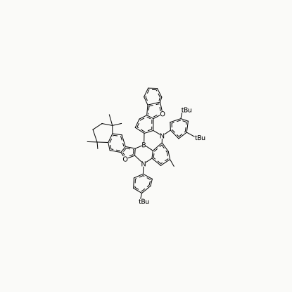 Cc1cc2c3c(c1)N(c1cc(C(C)(C)C)cc(C(C)(C)C)c1)c1c(ccc4c1oc1ccccc14)B3c1c(oc3cc4c(cc13)C(C)(C)CCC4(C)C)N2c1ccc(C(C)(C)C)cc1